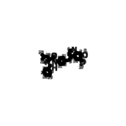 COc1cc2nccc(Cc3ccc(NC(=O)C(CC(C)C)N(C)Cc4ccccc4)cc3)c2cc1OC